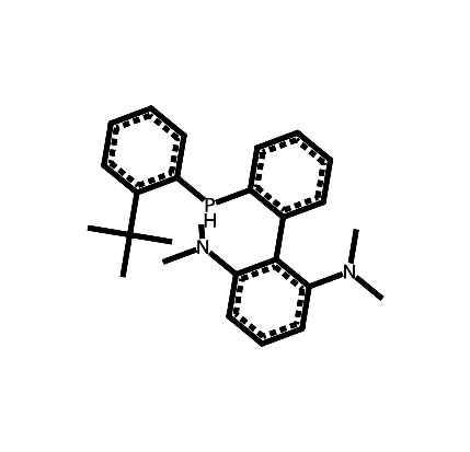 CN(C)c1cccc(N(C)C)c1-c1ccccc1Pc1ccccc1C(C)(C)C